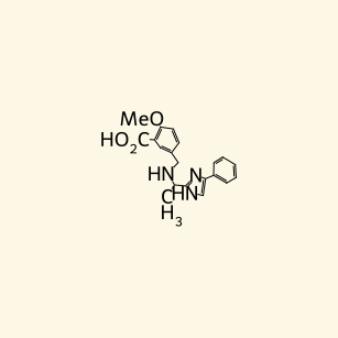 COc1ccc(CNC(C)c2nc(-c3ccccc3)c[nH]2)cc1C(=O)O